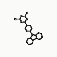 Clc1nc(Cl)nc(-c2ccc(-n3c4ccccc4c4ccccc43)cc2)n1